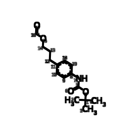 CC(C)(C)OC(=O)Nc1ccc(CCCO[C]=O)cc1